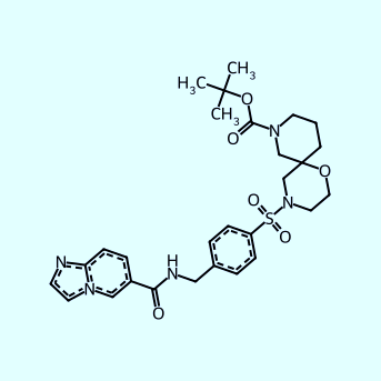 CC(C)(C)OC(=O)N1CCCC2(C1)CN(S(=O)(=O)c1ccc(CNC(=O)c3ccc4nccn4c3)cc1)CCO2